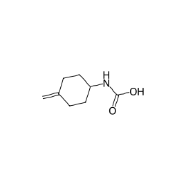 C=C1CCC(NC(=O)O)CC1